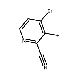 N#Cc1nccc(Br)c1F